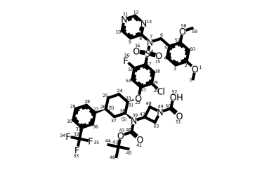 COc1ccc(CN(c2ccncn2)S(=O)(=O)c2cc(Cl)c(O[C@H]3CC[C@H](c4cccc(C(F)(F)F)c4)C[C@@H]3N(C(=O)OC(C)(C)C)C3CN(C(=O)O)C3)cc2F)c(OC)c1